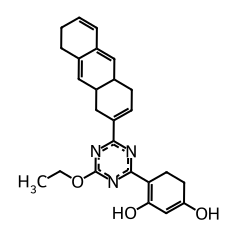 CCOc1nc(C2=CCC3C=C4C=CCCC4=CC3C2)nc(C2=C(O)C=C(O)CC2)n1